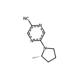 C[C@H]1CCCN1c1cnc(C#N)cn1